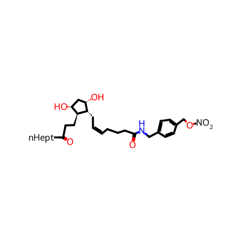 CCCCCCCC(=O)CC[C@@H]1[C@@H](C/C=C\CCCC(=O)NCc2ccc(CO[N+](=O)[O-])cc2)[C@@H](O)C[C@H]1O